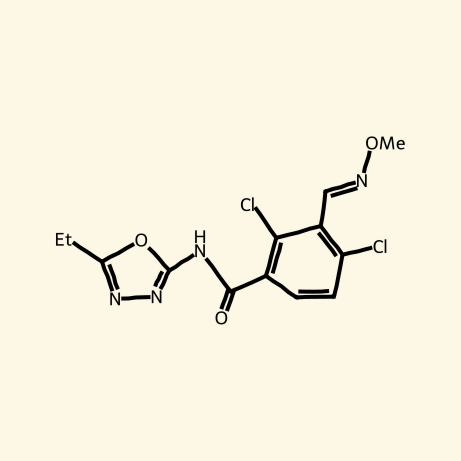 CCc1nnc(NC(=O)c2ccc(Cl)c(/C=N/OC)c2Cl)o1